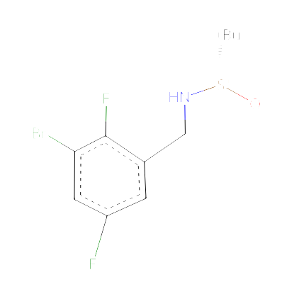 C[C@@H](N[S@@+]([O-])C(C)(C)C)c1cc(F)cc(Br)c1F